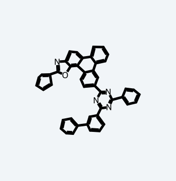 c1ccc(-c2cccc(-c3nc(-c4ccccc4)nc(-c4ccc5c(c4)c4ccccc4c4ccc6nc(-c7ccccc7)oc6c45)n3)c2)cc1